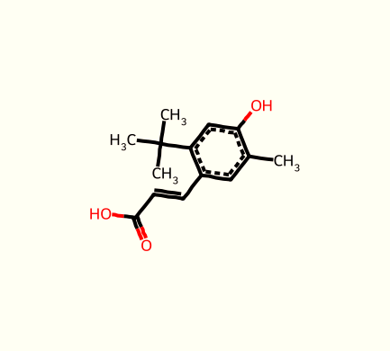 Cc1cc(C=CC(=O)O)c(C(C)(C)C)cc1O